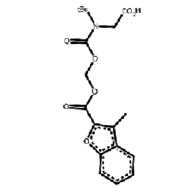 Cc1c(C(=O)OCOC(=O)N(CC(=O)O)C(C)(C)C)oc2ccccc12